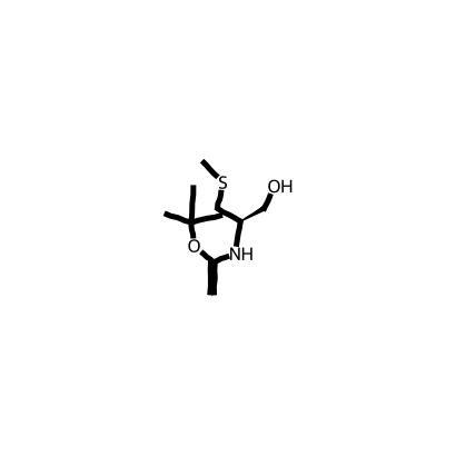 C=C(N[C@H](CO)CSC)OC(C)(C)C